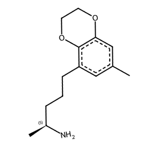 Cc1cc(CCC[C@H](C)N)c2c(c1)OCCO2